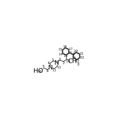 CC(CCN1CCN(CCO)CC1)c1ccccc1-c1ccccc1